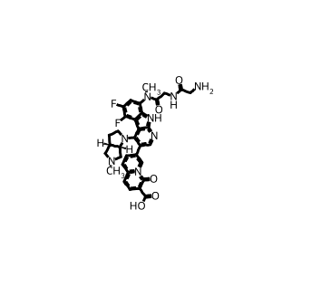 CN1C[C@@H]2CCN(c3c(-c4ccc5ccc(C(=O)O)c(=O)n5c4)cnc4[nH]c5c(N(C)C(=O)CNC(=O)CN)cc(F)c(F)c5c34)[C@@H]2C1